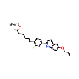 C=CCOc1ccc2nc(-c3ccc(C=CCCCC(C)OCCCCC)c(F)c3)ccc2c1